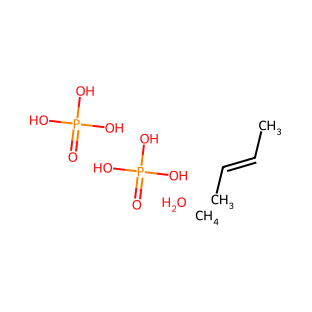 C.CC=CC.O.O=P(O)(O)O.O=P(O)(O)O